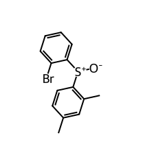 Cc1ccc([S+]([O-])c2ccccc2Br)c(C)c1